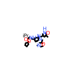 Cc1cc(-c2nc3cc(CNC(C(=O)OC4CCCC4)C(C)C)ccc3n2CC2CN(C)CCO2)c[nH]c1=O